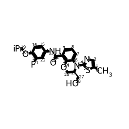 Cc1cnc(N2c3cccc(C(=O)Nc4ccc(OC(C)C)c(F)c4)c3OC[C@@H]2CO)s1